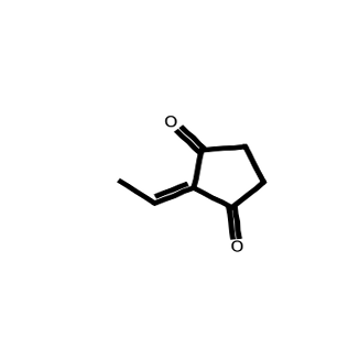 CC=C1C(=O)CCC1=O